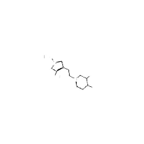 CC1=C(CCN2CCC(C)C(C)C2)CN(C)C1